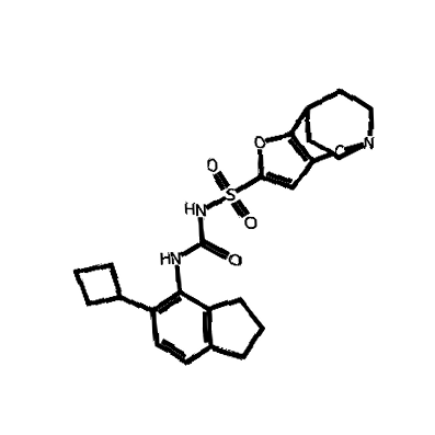 O=C(Nc1c(C2CCC2)ccc2c1CCC2)NS(=O)(=O)c1cc2c(o1)C1CCN(CC1)C2